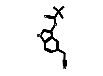 CC(C)(C)C(=O)Oc1c[nH]c2ccc(CC#N)cc12